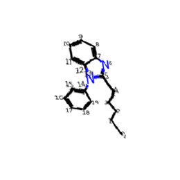 CCCCCc1nc2ccccc2n1-c1ccccc1